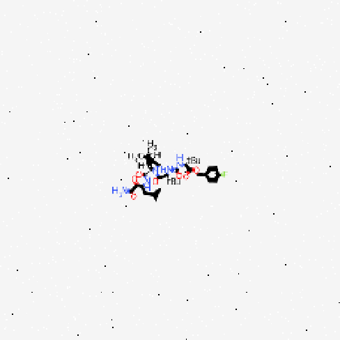 CC(C)(C)[C@H](NC(=O)N[C@H](C(=O)N1C[C@H]2[C@@H]([C@H]1C(=O)NC(CC1CC1)C(=O)C(N)=O)C2(C)C)C(C)(C)C)C(=O)OCc1ccc(F)cc1